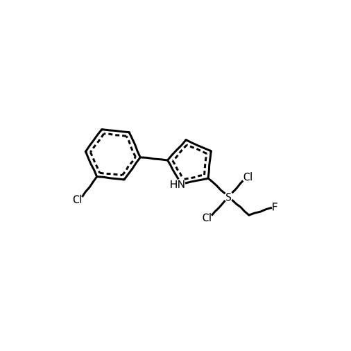 FCS(Cl)(Cl)c1ccc(-c2cccc(Cl)c2)[nH]1